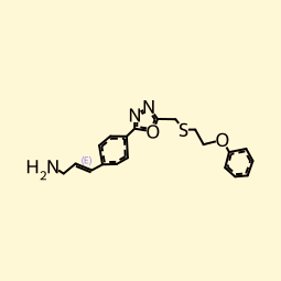 NC/C=C/c1ccc(-c2nnc(CSCCOc3ccccc3)o2)cc1